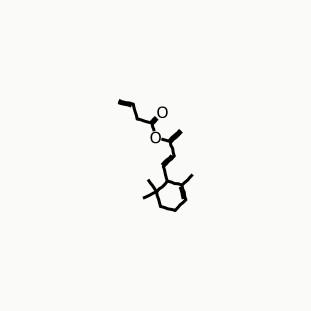 C=CCC(=O)OC(=C)C=CC1C(C)=CCCC1(C)C